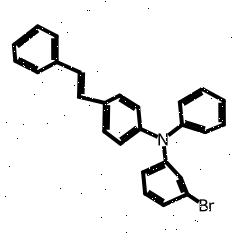 Brc1cccc(N(c2ccccc2)c2ccc(/C=C/c3ccccc3)cc2)c1